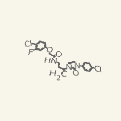 C=C(CCNC(=O)COc1ccc(Cl)c(F)c1)n1ccn(-c2ccc(Cl)cc2)c1=O